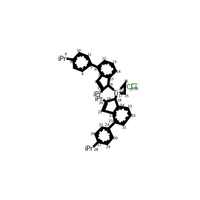 CC(C)C1=Cc2c(-c3ccc(C(C)C)cc3)cccc2[CH]1[Ti+2]1([CH]2C(C(C)C)=Cc3c(-c4ccc(C(C)C)cc4)cccc32)[CH2][CH2]1.[Cl-].[Cl-]